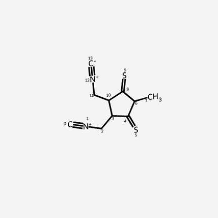 [C-]#[N+]CC1C(=S)C(C)C(=S)C1C[N+]#[C-]